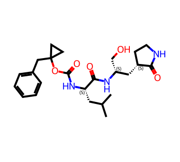 CC(C)C[C@H](NC(=O)OC1(Cc2ccccc2)CC1)C(=O)N[C@H](CO)C[C@@H]1CCNC1=O